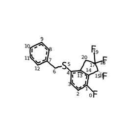 Fc1ccc(SCc2ccccc2)c2c1[C@@H](F)C(F)(F)C2